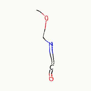 COCN=C=O